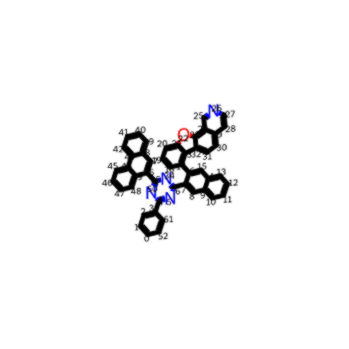 c1ccc(-c2nc(-c3cc4ccccc4cc3-c3cccc4oc5c6cnccc6ccc5c34)nc(-c3cc4ccccc4c4ccccc34)n2)cc1